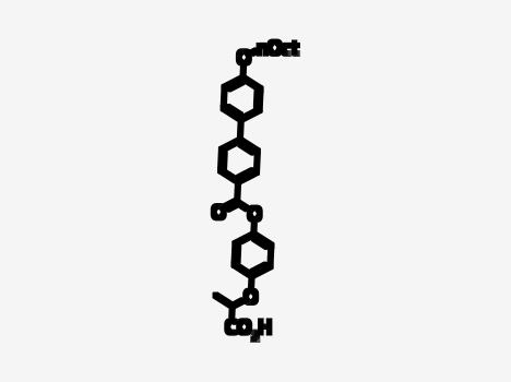 CCCCCCCCOc1ccc(-c2ccc(C(=O)Oc3ccc(OC(C)C(=O)O)cc3)cc2)cc1